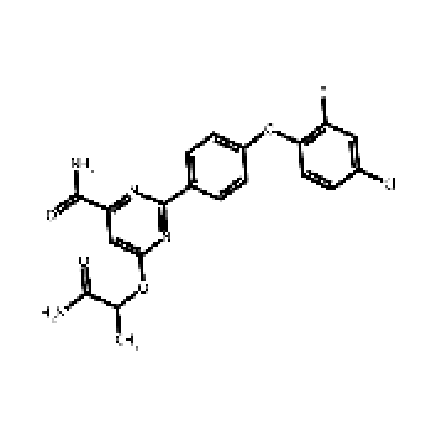 CC(Oc1cc(C(N)=O)nc(-c2ccc(Oc3ccc(Cl)cc3F)cc2)n1)C(N)=O